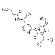 CC(C)(C)OC(=O)N[C@H](C(=O)Nc1cc(C(NC(=O)CCC(F)(F)F)C2CC2)ccn1)C(C1CC1)C1CC1